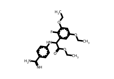 CCOC(=O)C(Nc1ccc(C(=N)N)cc1)c1cc(OCC)cc(OCC)c1F